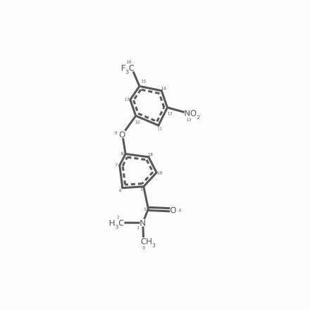 CN(C)C(=O)c1ccc(Oc2cc([N+](=O)[O-])cc(C(F)(F)F)c2)cc1